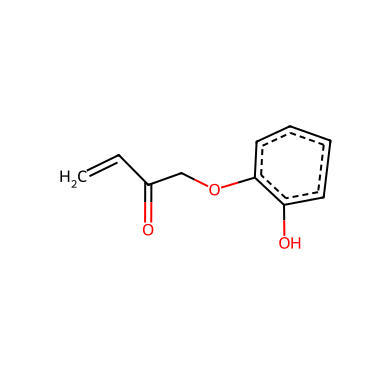 C=CC(=O)COc1ccccc1O